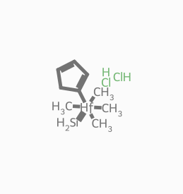 Cl.Cl.[CH3][Hf]([CH3])([CH3])([CH3])(=[SiH2])[C]1=CC=CC1